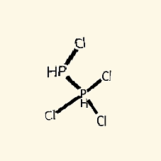 ClP[PH](Cl)(Cl)Cl